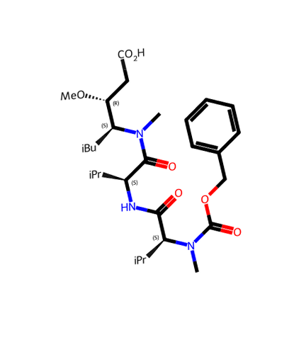 CCC(C)[C@@H]([C@@H](CC(=O)O)OC)N(C)C(=O)[C@@H](NC(=O)[C@H](C(C)C)N(C)C(=O)OCc1ccccc1)C(C)C